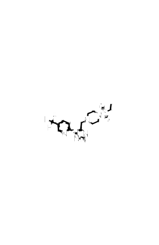 CCS(=O)(=O)N1CCN(Cc2nnnn2-c2ccc(C(F)(F)F)cn2)CC1